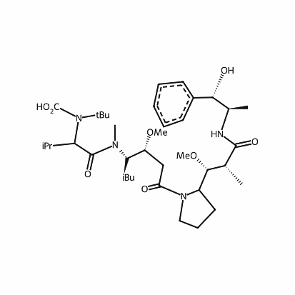 CC[C@H](C)[C@@H]([C@@H](CC(=O)N1CCCC1[C@H](OC)[C@@H](C)C(=O)N[C@H](C)[C@@H](O)c1ccccc1)OC)N(C)C(=O)C(C(C)C)N(C(=O)O)C(C)(C)C